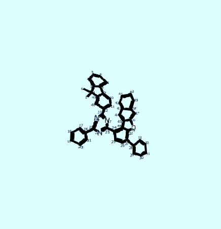 CC1(C)c2ccccc2-c2ccc(-c3nc(-c4ccccc4)nc(-c4ccc(-c5ccccc5)c5oc6cc7ccccc7cc6c45)n3)cc21